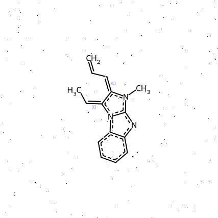 C=C/C=c1\c(=C/C)n2c3ccccc3nc2n1C